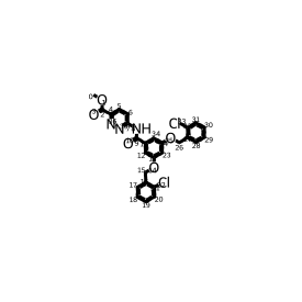 COC(=O)c1ccc(NC(=O)c2cc(OCc3ccccc3Cl)cc(OCc3ccccc3Cl)c2)nn1